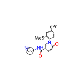 CCCc1ccc(-n2cc(C(=O)NC3CN4CCC3CC4)ccc2=O)c(SC)c1